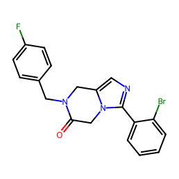 O=C1Cn2c(cnc2-c2ccccc2Br)CN1Cc1ccc(F)cc1